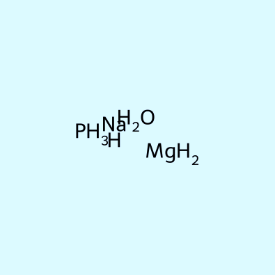 O.P.[MgH2].[NaH]